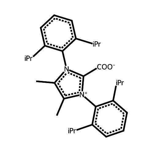 Cc1c(C)[n+](-c2c(C(C)C)cccc2C(C)C)c(C(=O)[O-])n1-c1c(C(C)C)cccc1C(C)C